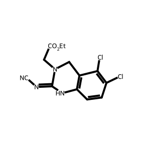 CCOC(=O)CN1Cc2c(ccc(Cl)c2Cl)NC1=NC#N